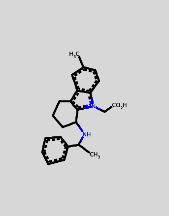 Cc1ccc2c(c1)c1c(n2CC(=O)O)C(NC(C)c2ccccc2)CCC1